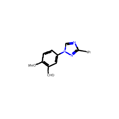 COc1ccc(-n2cnc(C(C)C)n2)cc1C=O